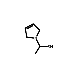 CC(S)N1CC=CC1